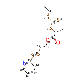 CCSC(=S)SC(C)C(=O)OCCSSc1ccccn1